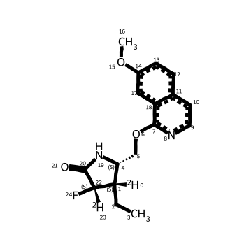 [2H][C@]1(CC)[C@@H](COc2nccc3ccc(OC)cc23)NC(=O)[C@@]1([2H])F